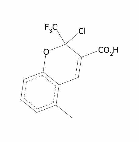 Cc1cccc2c1C=C(C(=O)O)C(Cl)(C(F)(F)F)O2